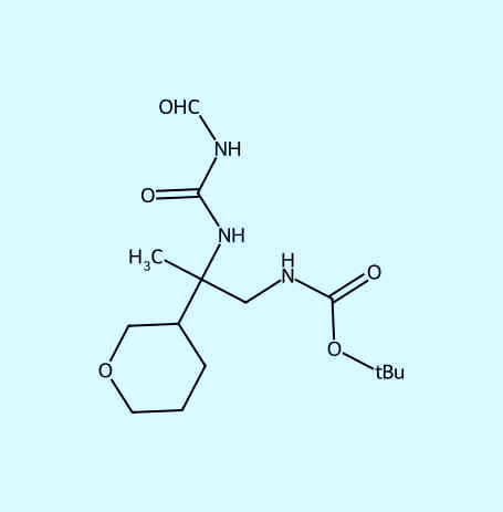 CC(C)(C)OC(=O)NCC(C)(NC(=O)NC=O)C1CCCOC1